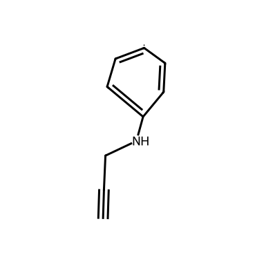 C#CCNc1cc[c]cc1